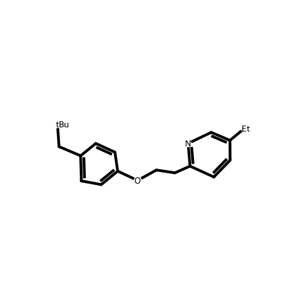 CCc1ccc(CCOc2ccc(CC(C)(C)C)cc2)nc1